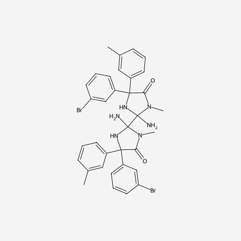 Cc1cccc(C2(c3cccc(Br)c3)NC(N)(C3(N)NC(c4cccc(C)c4)(c4cccc(Br)c4)C(=O)N3C)N(C)C2=O)c1